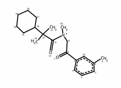 Cc1cccc(C(=O)CN(C)C(=O)C(C)(C)C2CCCCC2)c1